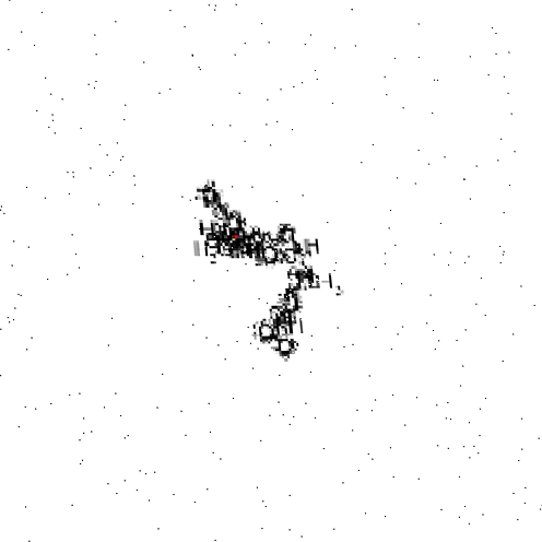 CN(CCCC(=O)Nc1cccc(CCN(Cc2ccccc2)C[C@@H](O[Si](C)(C)C(C)(C)C)c2ccc(OCc3ccccc3)c3[nH]c(=O)ccc23)c1)C(=O)CCN1CCC(OC(=O)Nc2ccccc2-c2ccccc2)CC1